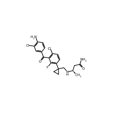 C[C@H](CC(N)=O)NCC1(c2ccc(Cl)c(C(=O)c3ccc(N)c(Cl)c3)c2F)CC1